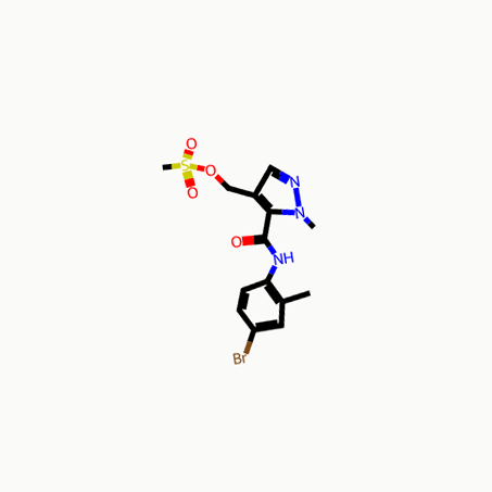 Cc1cc(Br)ccc1NC(=O)c1c(COS(C)(=O)=O)cnn1C